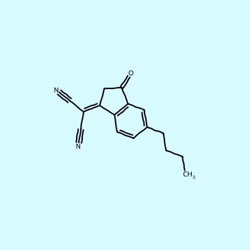 CCCCc1ccc2c(c1)C(=O)CC2=C(C#N)C#N